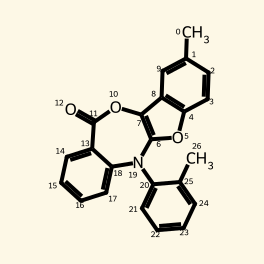 Cc1ccc2oc3c(c2c1)OC(=O)c1ccccc1N3c1ccccc1C